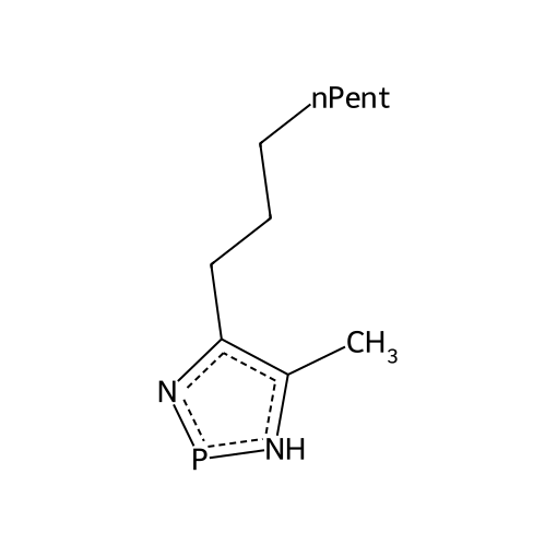 CCCCCCCCc1np[nH]c1C